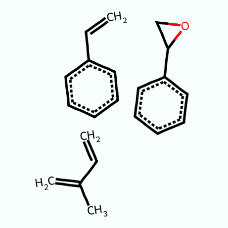 C=CC(=C)C.C=Cc1ccccc1.c1ccc(C2CO2)cc1